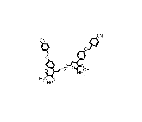 N#Cc1ccc(COc2ccc(C(CCSSCCC(C(=NO)C(N)=O)c3ccc(OCc4ccc(C#N)cc4)cc3)C(=NO)C(N)=O)cc2)cc1